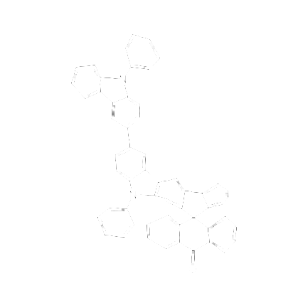 O=C1c2ccccc2C2(c3ccccc31)c1ccccc1-c1cc3c4cc(-c5ccc6c(c5)c5ccccc5n6-c5ccccc5)ccc4n(-c4ccccc4)c3cc12